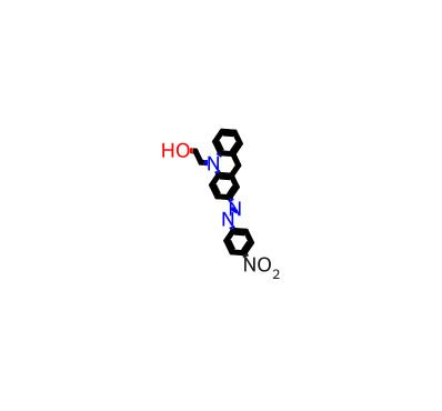 O=[N+]([O-])c1ccc(N=Nc2ccc3c(c2)Cc2ccccc2N3CCO)cc1